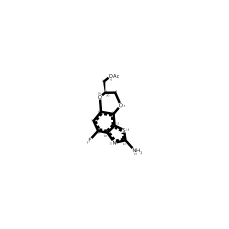 CC(=O)OC[C@H]1COc2c(cc(F)c3nc(N)sc23)O1